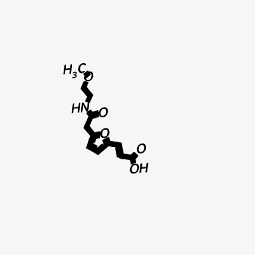 COCCNC(=O)Cc1ccc(/C=C/C(=O)O)o1